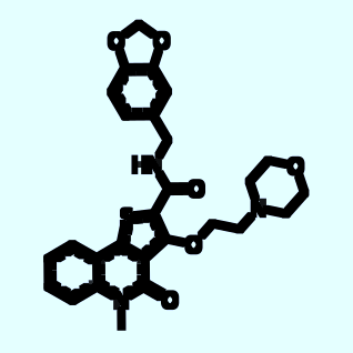 Cn1c(=O)c2c(OCCN3CCOCC3)c(C(=O)NCc3ccc4c(c3)OCO4)sc2c2ccccc21